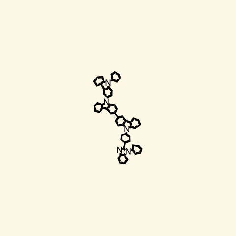 C1=C(c2nc3ccccc3n2-c2ccccc2)CCC(n2c3ccccc3c3cc(-c4ccc5c(c4)c4ccccc4n5-c4ccc5c(c4)c4ccccc4n5-c4ccccc4)ccc32)=C1